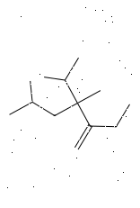 C=C(CC)C(C)(CC(C)C)C(C)C